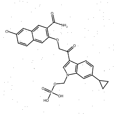 NC(=O)c1cc2cc(Cl)ccc2cc1OCC(=O)c1cn(COP(=O)(O)O)c2cc(C3CC3)ccc12